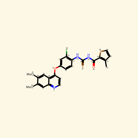 COc1cc2nccc(Oc3ccc(NC(=S)NC(=O)c4sccc4C)c(F)c3)c2cc1OC